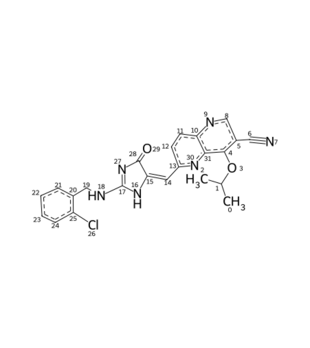 CC(C)Oc1c(C#N)cnc2ccc(C=C3NC(NCc4ccccc4Cl)=NC3=O)nc12